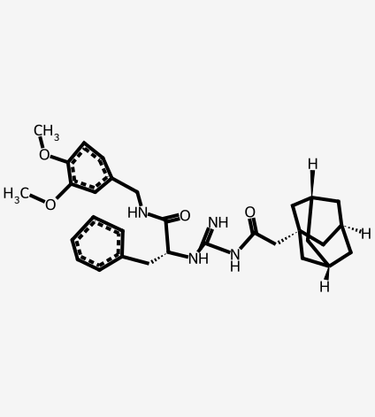 COc1ccc(CNC(=O)[C@@H](Cc2ccccc2)NC(=N)NC(=O)C[C@]23C[C@H]4C[C@H](C[C@H](C4)C2)C3)cc1OC